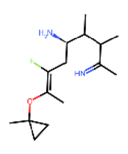 CC(=N)C(C)C(C)[C@H](N)C/C(F)=C(\C)OC1(C)CC1